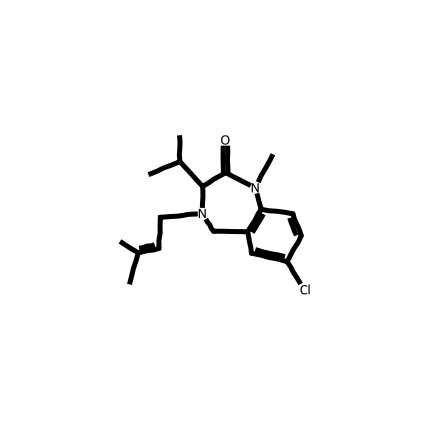 CC(C)=CCN1Cc2cc(Cl)ccc2N(C)C(=O)C1C(C)C